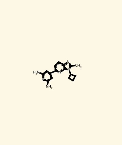 Cc1nc2ccc(-c3cc(N)nc(N)c3)nc2n1C1CCC1